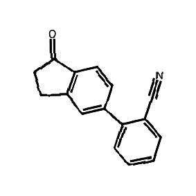 N#Cc1ccccc1-c1ccc2c(c1)CCC2=O